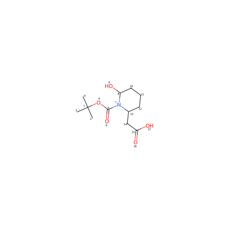 CC(C)(C)OC(=O)N1C(O)CCCC1CC(=O)O